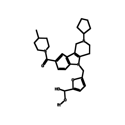 CCOC(O)c1ccc(Cn2c3c(c4cc(C(=O)N5CCC(C)CC5)ccc42)CN(C2CCCC2)CC3)o1